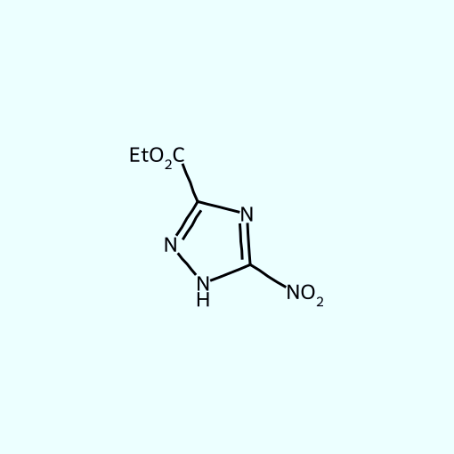 CCOC(=O)c1n[nH]c([N+](=O)[O-])n1